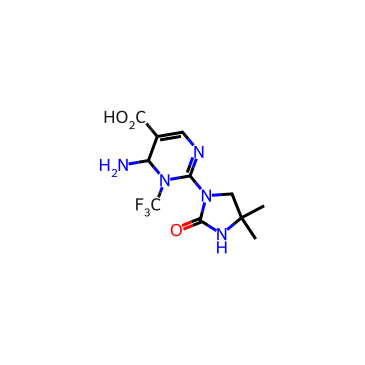 CC1(C)CN(C2=NC=C(C(=O)O)C(N)N2C(F)(F)F)C(=O)N1